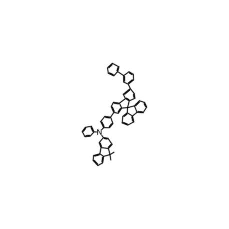 CC1(C)c2ccccc2-c2cc(N(c3ccccc3)c3ccc(-c4ccc5c(c4)C4(c6ccccc6-c6ccccc64)c4ccc(-c6cccc(-c7ccccc7)c6)cc4-5)cc3)ccc21